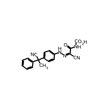 CC(C#N)(c1ccccc1)c1ccc(NN=C(C#N)C(=O)NC(=O)O)cc1